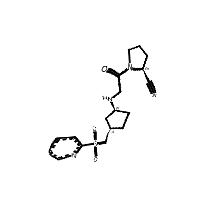 N#C[C@@H]1CCCN1C(=O)CN[C@H]1CC[C@@H](CS(=O)(=O)c2ccccn2)C1